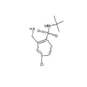 CC(C)(C)NS(=O)(=O)c1ccc(Cl)cc1CN